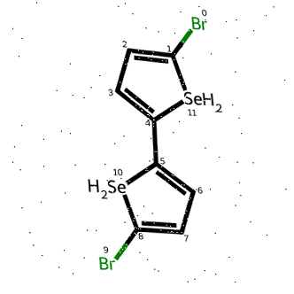 BrC1=CC=C(C2=CC=C(Br)[SeH2]2)[SeH2]1